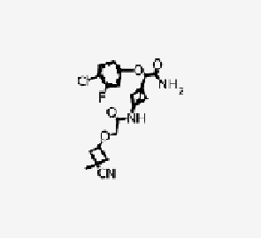 CC1(C#N)CC(OCC(=O)NC23CC(C(Oc4ccc(Cl)c(F)c4)C(N)=O)(C2)C3)C1